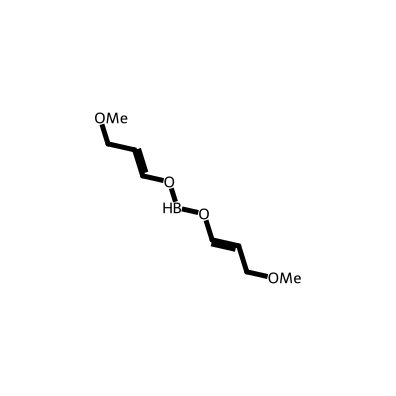 COCC=COBOC=CCOC